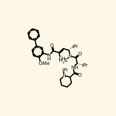 COc1ccc(-c2ccccc2)cc1NC(=O)/C(C)=C/[C@H](C(C)C)N(C)C(=O)[C@@H](NC(=O)C1CCCCN1C(C)C)C(C)C